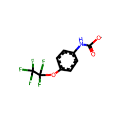 [O]C(=O)Nc1ccc(OC(F)(F)C(F)(F)F)cc1